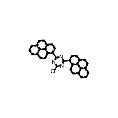 Clc1nc(-c2ccc3ccc4cccc5ccc2c3c45)nc(-c2ccc3ccc4cccc5ccc2c3c45)n1